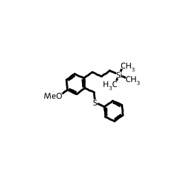 COc1ccc(CCC[Si](C)(C)C)c(CSc2ccccc2)c1